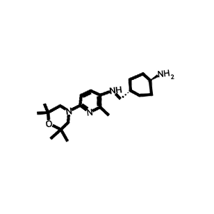 Cc1nc(N2CC(C)(C)OC(C)(C)C2)ccc1NC[C@H]1CC[C@H](N)CC1